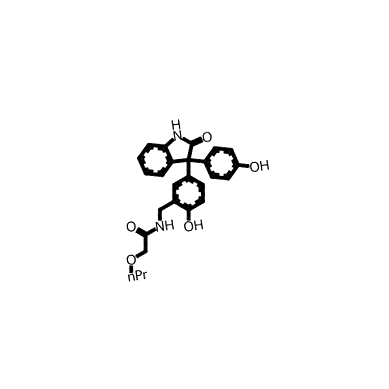 CCCOCC(=O)NCc1cc(C2(c3ccc(O)cc3)C(=O)Nc3ccccc32)ccc1O